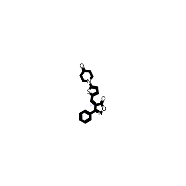 O=C1CCN(c2ccc(/C=C3\C(=O)ON=C3c3ccccc3)s2)CC1